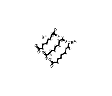 O=C([O-])CCCCCCC(=O)[O-].O=C([O-])CCCCCCC(=O)[O-].O=C([O-])CCCCCCC(=O)[O-].[Bi+3].[Bi+3]